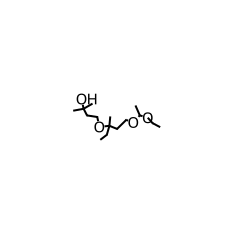 CCOC(C)OCCC(C)(CC)OCCC(C)(C)O